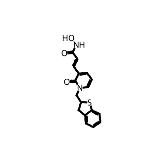 O=C(/C=C/c1cccn(CC2Cc3ccccc3S2)c1=O)NO